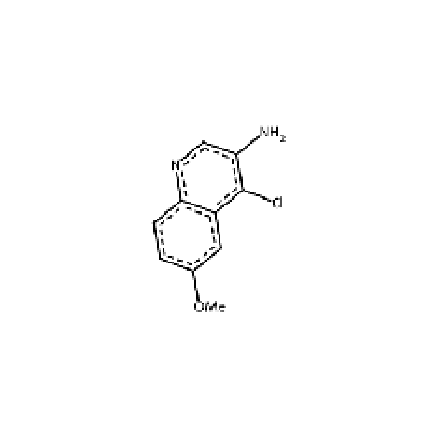 COc1ccc2ncc(N)c(Cl)c2c1